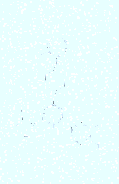 CC1CCCN1c1nc(-c2ccc(F)c(Cl)c2)nc(N2CCN(c3ncccc3C(F)(F)F)CC2)n1